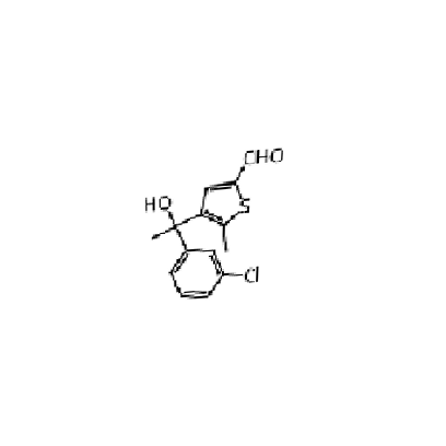 Cc1sc(C=O)cc1C(C)(O)c1cccc(Cl)c1